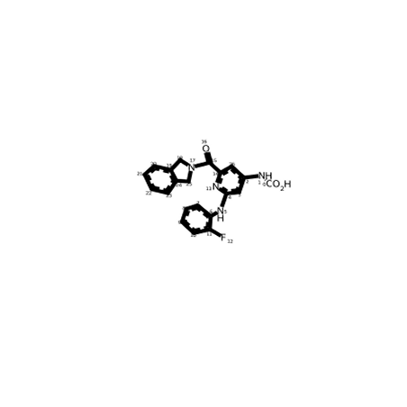 O=C(O)Nc1cc(Nc2ccccc2F)nc(C(=O)N2Cc3ccccc3C2)c1